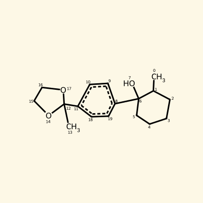 CC1CCCCC1(O)c1ccc(C2(C)OCCO2)cc1